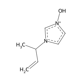 C=CC(C)n1cc[n+](O)c1